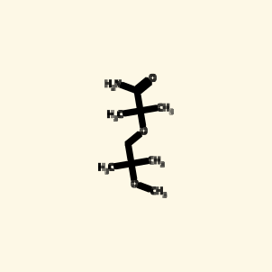 COC(C)(C)COC(C)(C)C(N)=O